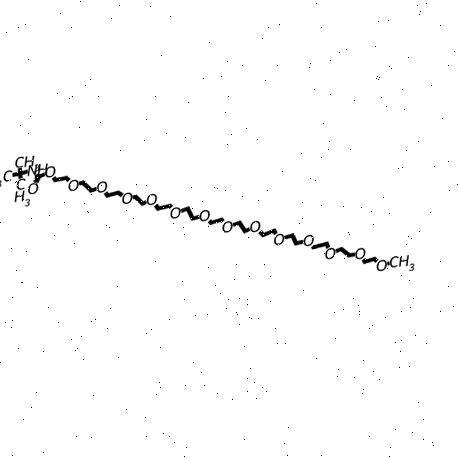 COCCOCCOCCOCCOCCOCCOCCOCCOCCOCCOCCOCCOCCOC(=O)NC(C)(C)C